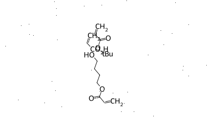 C=CC(=O)O.C=CC(=O)OC(C)(C)C.C=CC(=O)OCCCCO